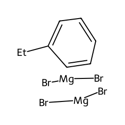 [Br][Mg][Br].[Br][Mg][Br].[CH2]Cc1ccccc1